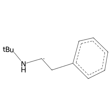 CC(C)(C)N[CH]Cc1ccccc1